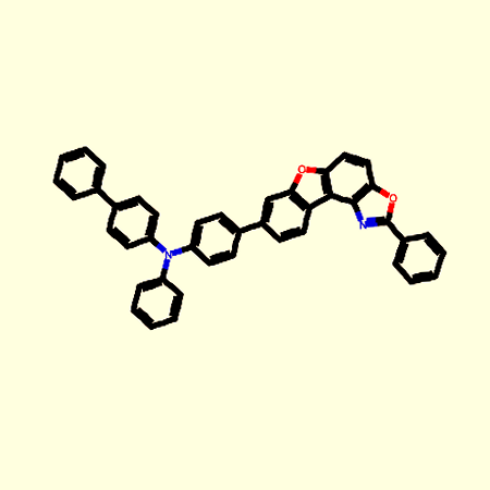 c1ccc(-c2ccc(N(c3ccccc3)c3ccc(-c4ccc5c(c4)oc4ccc6oc(-c7ccccc7)nc6c45)cc3)cc2)cc1